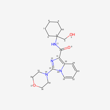 O=C(NC1(CO)CCCCC1)c1nc(N2CCOCC2)n2ccccc12